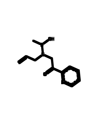 C=CCN(CC(=O)c1ccccn1)B(C)O